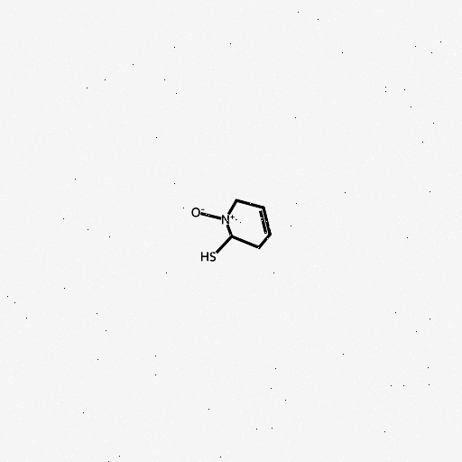 [O-][N+]1CC=CCC1S